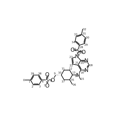 Cc1ccc(S(=O)(=O)OC[C@@H]2CCC(N(C)c3ncnc4c3ccn4S(=O)(=O)c3ccc(C)cc3)C(C)C2)cc1